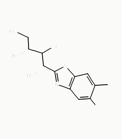 OC[C@@H](O)C(O)[C@@H](O)c1nc2cc(Cl)c(Cl)cc2[nH]1